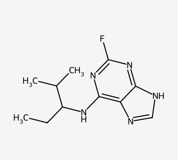 CCC(Nc1nc(F)nc2[nH]cnc12)C(C)C